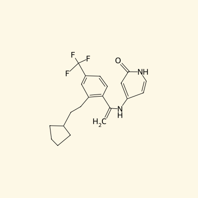 C=C(Nc1cc[nH]c(=O)c1)c1ccc(C(F)(F)F)cc1CCC1CCCC1